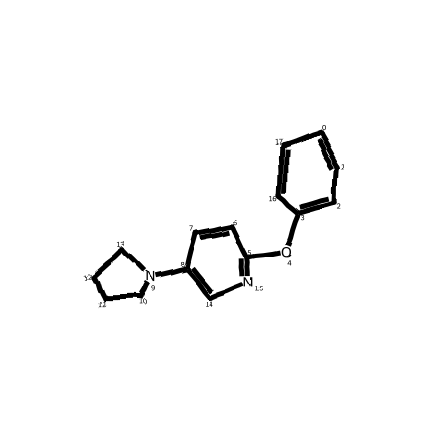 c1ccc(Oc2ccc(N3CCCC3)cn2)cc1